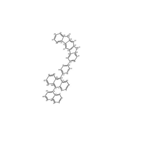 c1ccc2c(-c3c4ccccc4c(-c4ccc(-c5ccc6oc7cc8oc9ccccc9c8cc7c6c5)cc4)c4ccccc34)cccc2c1